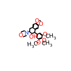 COc1cc(C2c3cc4c(cc3CC(N3CCOCC3)C2O)OCO4)cc(OC)c1OC